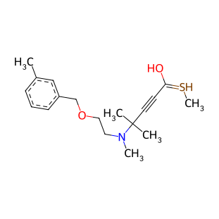 C[SH]=C(O)C#CC(C)(C)N(C)CCOCc1cccc(C)c1